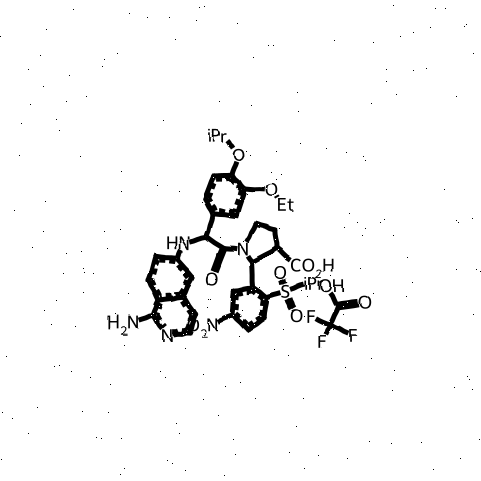 CCOc1cc(C(Nc2ccc3c(N)nccc3c2)C(=O)N2CCC(C(=O)O)C2c2cc([N+](=O)[O-])ccc2S(=O)(=O)C(C)C)ccc1OC(C)C.O=C(O)C(F)(F)F